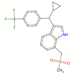 CS(=O)(=O)Cc1cccc2c(C(c3ccc(C(F)(F)F)cc3)C3CC3)c[nH]c12